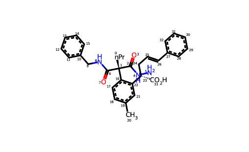 CCC[C@](C(=O)NN)(C(=O)NCc1ccccc1)c1ccc(C)cc1[C@H](C/C=C/c1ccccc1)C(=O)O